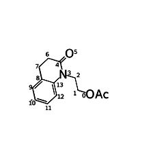 CC(=O)OCCN1C(=O)CCc2c[c]ccc21